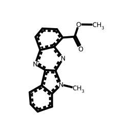 COC(=O)c1cccc2nc3c4ccccc4n(C)c3nc12